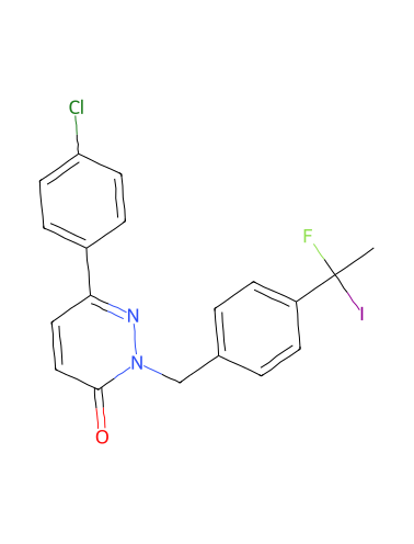 CC(F)(I)c1ccc(Cn2nc(-c3ccc(Cl)cc3)ccc2=O)cc1